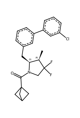 C[C@@H]1[C@H](Cc2cccc(-c3cccc(Cl)c3)c2)N(C(=O)C23CC(C2)C3)CC1(F)F